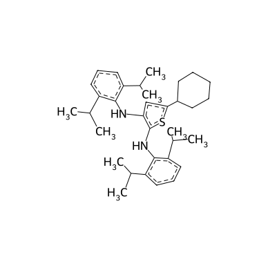 CC(C)c1cccc(C(C)C)c1Nc1cc(C2CCCCC2)sc1Nc1c(C(C)C)cccc1C(C)C